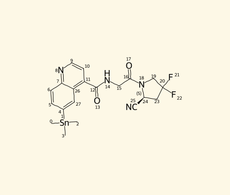 [CH3][Sn]([CH3])([CH3])[c]1ccc2nccc(C(=O)NCC(=O)N3CC(F)(F)C[C@H]3C#N)c2c1